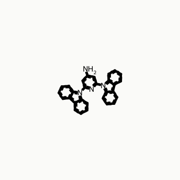 Nc1cc(-n2c3ccccc3c3ccccc32)nc(-n2c3ccccc3c3ccccc32)c1